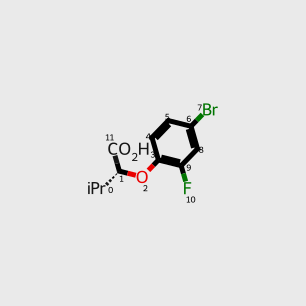 CC(C)[C@@H](Oc1ccc(Br)cc1F)C(=O)O